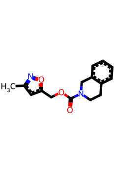 Cc1cc(COC(=O)N2CCc3ccccc3C2)on1